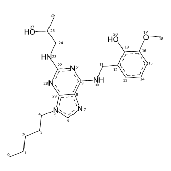 CCCCCn1cnc2c(NCc3cccc(OC)c3O)nc(NCC(C)O)nc21